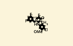 COc1cc(Nc2nc(=O)c(F)cn2Cc2cc(F)cc(F)c2)c(C)cc1Cl